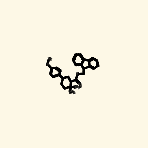 CC(C)Oc1ccc(C2CCC(N)(C(=O)O)C(C(=O)OCC3c4ccccc4-c4ccccc43)C2)cc1